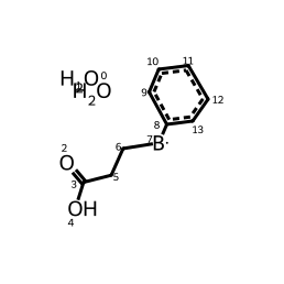 O.O.O=C(O)CC[B]c1ccccc1